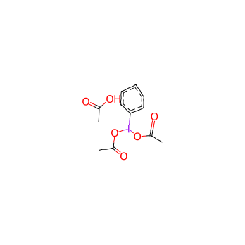 CC(=O)O.CC(=O)OI(OC(C)=O)c1ccccc1